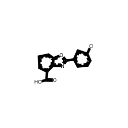 O=C(O)c1cccc2oc(-c3cccc(Cl)c3)nc12